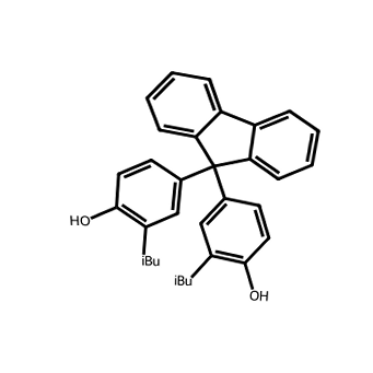 CCC(C)c1cc(C2(c3ccc(O)c(C(C)CC)c3)c3ccccc3-c3ccccc32)ccc1O